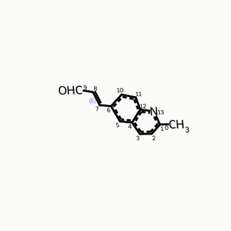 Cc1ccc2cc(/C=C/C=O)ccc2n1